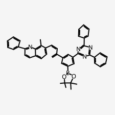 C=C(/C=C\c1ccc2ccc(-c3ccccc3)nc2c1C)c1cc(B2OC(C)(C)C(C)(C)O2)cc(-c2nc(-c3ccccc3)nc(-c3ccccc3)n2)c1